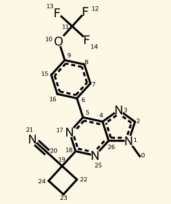 Cn1cnc2c(-c3ccc(OC(F)(F)F)cc3)nc(C3(C#N)CCC3)nc21